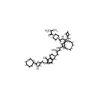 CC(C)C(=O)N1CCN(C2CC(C(=O)NC[C@H](O)CN3CCc4c(ccc(OCC5CNC(C6CCCCCCC6)O5)c4Cl)C3)C3(CCCCCCCCC3)C(NC3CCC3)N2)CC1